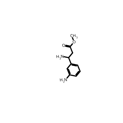 COC(=O)CC(N)c1cccc(N)c1